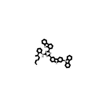 C=C(/C=C\C=C/C)c1ccccc1Nc1nc(-c2ccc3sc4cc(-n5c6ccccc6c6ccccc65)ccc4c3c2)nc(-c2cccc3c2oc2ccccc23)n1